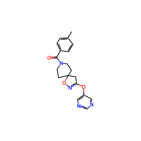 Cc1ccc(C(=O)N2CCC3(CC2)CC(Oc2cncnc2)=NO3)cc1